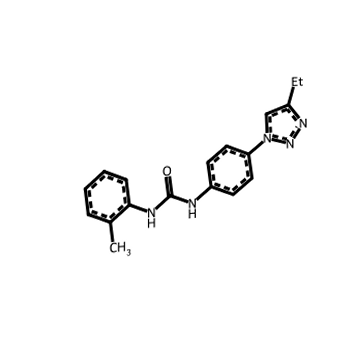 CCc1cn(-c2ccc(NC(=O)Nc3ccccc3C)cc2)nn1